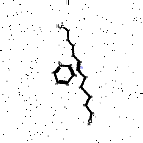 CCCCC/C=C/CCCCCCl.c1ccncc1